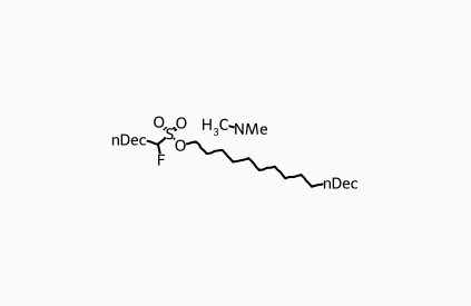 CCCCCCCCCCCCCCCCCCCCOS(=O)(=O)C(F)CCCCCCCCCC.CNC